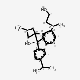 CC(C)c1ccc([C@](O)(c2cncc(N(C)CCO)c2)C2(C)CN(C)C2)cc1